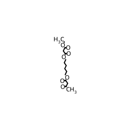 CCOC(=O)CC(=O)OCCCCCCOC(=O)CC(C)=O